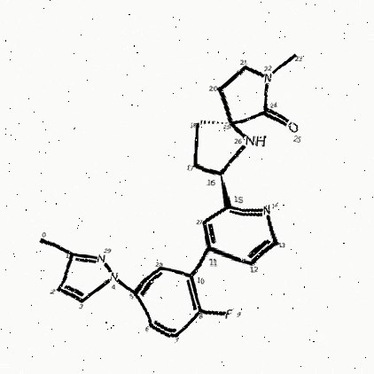 Cc1ccn(-c2ccc(F)c(-c3ccnc([C@H]4CC[C@@]5(CCN(C)C5=O)N4)c3)c2)n1